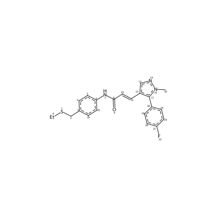 CCSCc1ccc(NC(=O)/C=C/c2cnn(C)c2-c2ccc(F)cc2)cc1